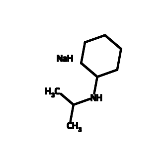 CC(C)NC1CCCCC1.[NaH]